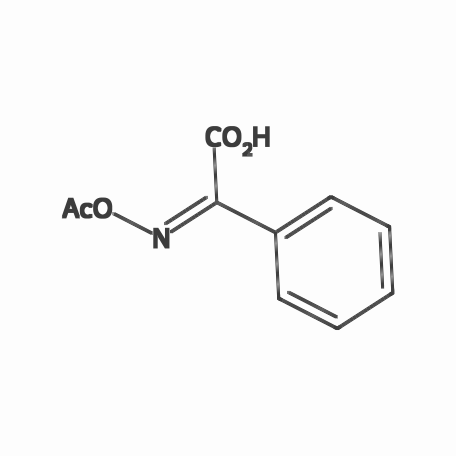 CC(=O)ON=C(C(=O)O)c1ccccc1